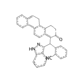 N#Cc1ccccc1C(C1=c2ccc3c(c2CCC1=O)CC=c1ccccc1=3)c1n[nH]c2ccccc12